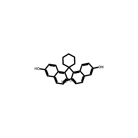 Oc1ccc2c(C3(c4c(O)ccc5cc(O)ccc45)CCCCC3)c(O)ccc2c1